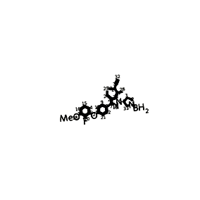 BN1CC[C@@H](n2nc(-c3ccc(Oc4cccc(OC)c4F)cc3)c(=C/C)/c2=C(/C)C(C)C#C)C1